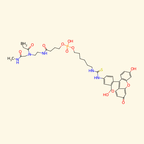 BCC(=O)N(CCNC(=O)CCCOP(=O)(O)OCCCCCCNC(=S)Nc1ccc(-c2c3ccc(=O)cc-3oc3cc(O)ccc23)c(C(=O)O)c1)CC(=O)NC